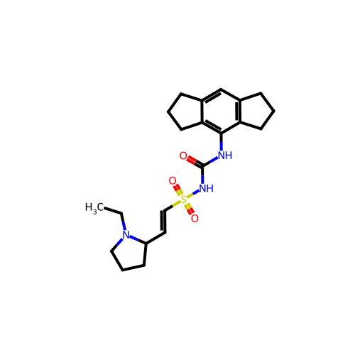 CCN1CCCC1/C=C/S(=O)(=O)NC(=O)Nc1c2c(cc3c1CCC3)CCC2